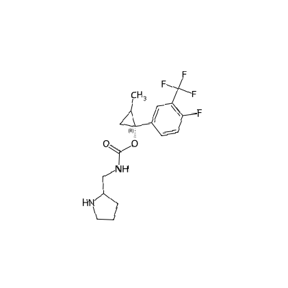 CC1C[C@]1(OC(=O)NCC1CCCN1)c1ccc(F)c(C(F)(F)F)c1